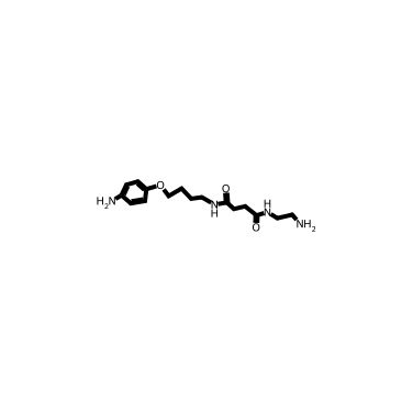 NCCNC(=O)CCC(=O)NCCCCOc1ccc(N)cc1